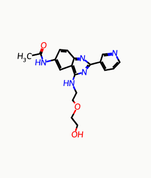 CC(=O)Nc1ccc2nc(-c3cccnc3)nc(NCCOCCO)c2c1